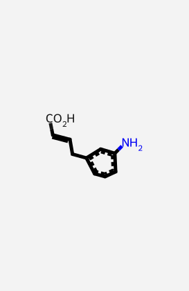 Nc1cccc(CC=CC(=O)O)c1